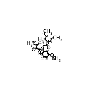 CCCCN(CCC)C(=O)Cn1c(C(=O)C(C)C)nc2ccc(OC)cc21